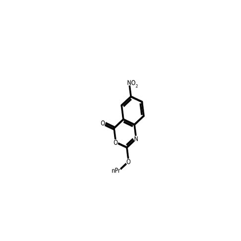 CCCOc1nc2ccc([N+](=O)[O-])cc2c(=O)o1